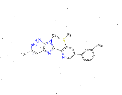 CCSc1cc(-c2cccc(SC)c2)cnc1-c1nc(/C=C(\N)C(F)(F)F)c(N)n1C